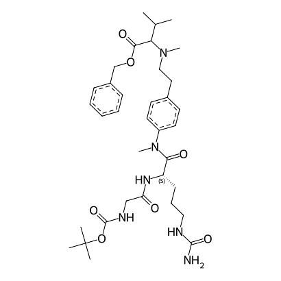 CC(C)C(C(=O)OCc1ccccc1)N(C)CCc1ccc(N(C)C(=O)[C@H](CCCNC(N)=O)NC(=O)CNC(=O)OC(C)(C)C)cc1